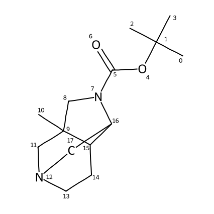 CC(C)(C)OC(=O)N1CC2(C)CN3CCC2C1C3